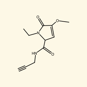 C#CCNC(=O)C1C=C(OC)C(=O)N1CC